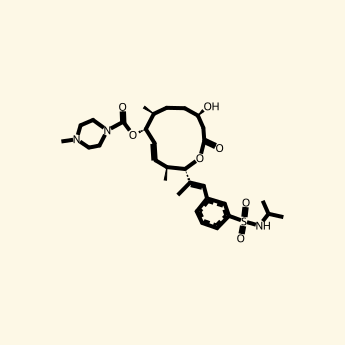 C/C(=C\c1cccc(S(=O)(=O)NC(C)C)c1)[C@H]1OC(=O)C[C@H](O)CC[C@H](C)[C@@H](OC(=O)N2CCN(C)CC2)/C=C/[C@@H]1C